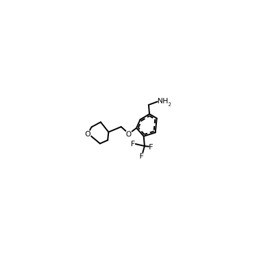 NCc1ccc(C(F)(F)F)c(OCC2CCOCC2)c1